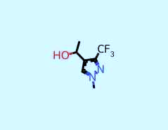 CC(O)c1cn(C)nc1C(F)(F)F